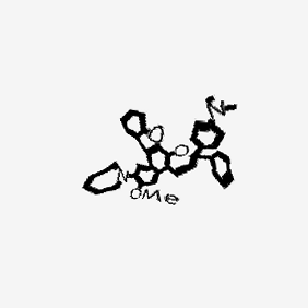 COc1cc2c3c(c4oc5ccccc5c4c2cc1N1CCCCC1)OC(c1ccccc1)(c1ccc(N(C)C)cc1)C=C3